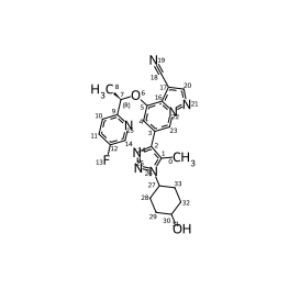 Cc1c(-c2cc(O[C@H](C)c3ccc(F)cn3)c3c(C#N)cnn3c2)nnn1C1CCC(O)CC1